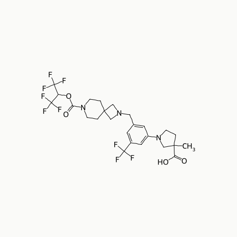 CC1(C(=O)O)CCN(c2cc(CN3CC4(CCN(C(=O)OC(C(F)(F)F)C(F)(F)F)CC4)C3)cc(C(F)(F)F)c2)C1